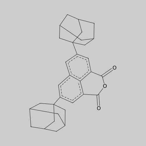 O=C1OC(=O)c2cc(C34CC5CC(CC(C5)C3)C4)cc3cc(C45CC6CC(CC(C6)C4)C5)cc1c23